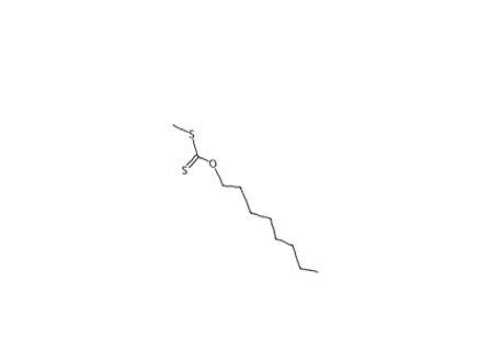 CCCCCCCCOC(=S)SC